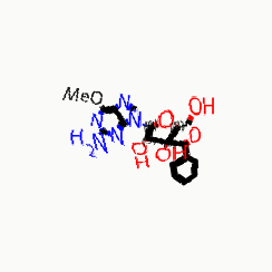 COc1nc(N)nc2c1ncn2[C@@H]1O[C@H](CO)[C@](O)(C(=O)c2ccccc2)[C@@H]1O